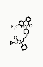 CC(CCCN1CCC(NC(=O)c2ccccc2-c2ccc(C(F)(F)F)cc2)CC1)(CC(=O)OC1CC1)c1ccccc1